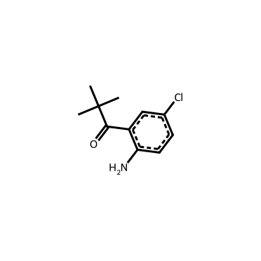 CC(C)(C)C(=O)c1cc(Cl)ccc1N